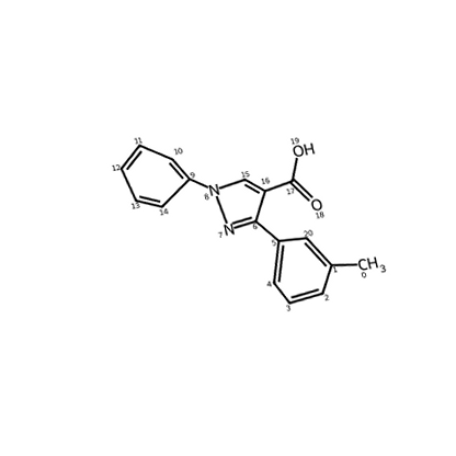 Cc1cccc(-c2nn(-c3ccccc3)cc2C(=O)O)c1